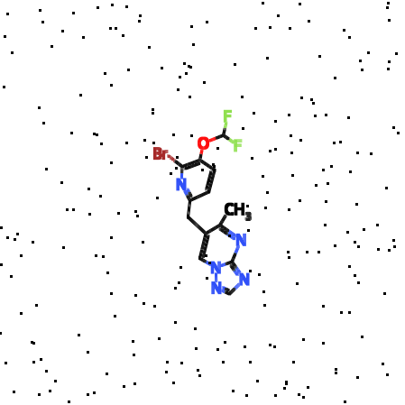 Cc1nc2ncnn2cc1Cc1ccc(OC(F)F)c(Br)n1